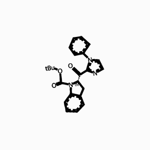 CC(C)(C)OC(=O)N1c2ccccc2C[C@H]1C(=O)c1nccn1-c1ccccc1